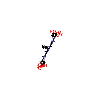 CC(/C=C/C=C(C)/C=C/[C@@H]1[C@@H](C)[C@H](OS(=O)(=O)[O-])[C@H](O)CC1(C)C)=C\C=C\C=C(C)\C=C\C=C(C)\C=C\[C@@H]1[C@@H](C)[C@H](OS(=O)(=O)[O-])[C@H](O)CC1(C)C.[Na+].[Na+]